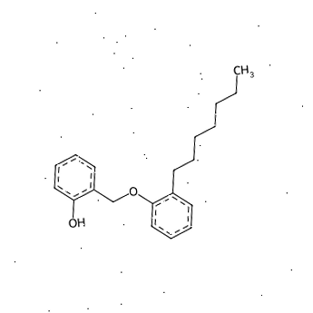 CCCCCCCc1ccccc1OCc1ccccc1O